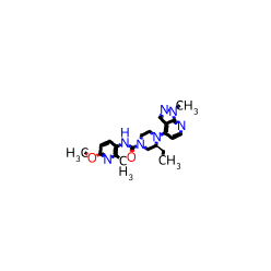 CC[C@H]1CN(C(=O)Nc2ccc(OC)nc2C)CCN1c1ccnc2c1cnn2C